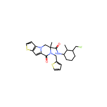 CC1C(CF)CCCC1NC(=O)C1(C)Cn2c(cc3sccc32)C(=O)N1Cc1cccs1